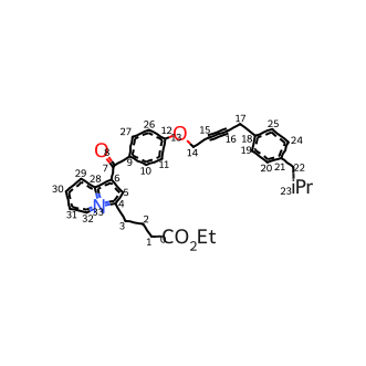 CCOC(=O)CCCc1cc(C(=O)c2ccc(OCC#CCc3ccc(CC(C)C)cc3)cc2)c2ccccn12